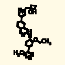 CCOc1cc(-c2nncn2C)ccc1Nc1cc2cc(-c3cnn(CC4(O)CCC4)c3)ccc2cn1